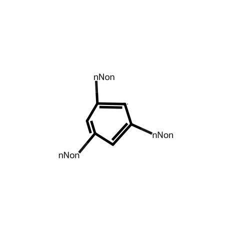 CCCCCCCCCc1[c]c(CCCCCCCCC)cc(CCCCCCCCC)c1